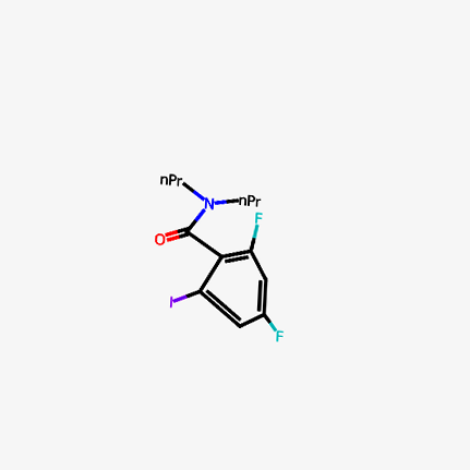 CCCN(CCC)C(=O)c1c(F)cc(F)cc1I